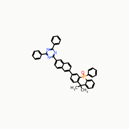 CC1(C)c2ccccc2P(=O)(c2ccccc2)c2cc(-c3ccc4cc(-c5nc(-c6ccccc6)nc(-c6ccccc6)n5)ccc4c3)ccc21